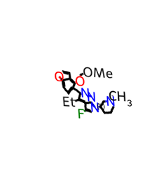 CCc1c(-c2ccc3occc3c2OCOC)nnc2c1c(F)cn2[C@@H]1CCCN(C)C1